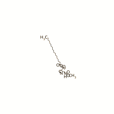 CCCCCCCCCCCCCCCCCCC(=O)OCC1(c2cccnc2CNC(=O)OC)CCO1